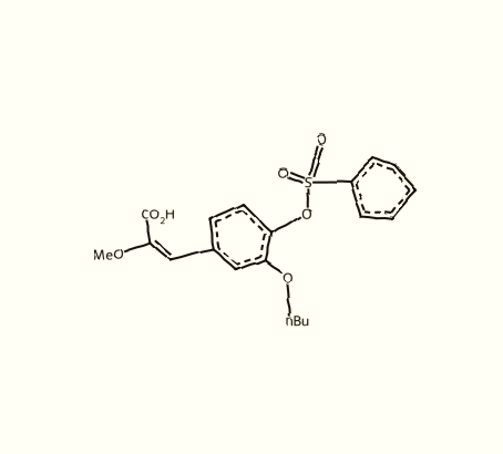 CCCCOc1cc(C=C(OC)C(=O)O)ccc1OS(=O)(=O)c1ccccc1